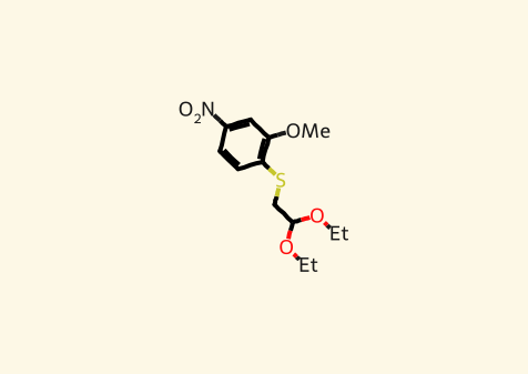 CCOC(CSc1ccc([N+](=O)[O-])cc1OC)OCC